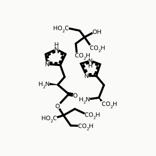 N[C@@H](Cc1c[nH]cn1)C(=O)O.N[C@@H](Cc1c[nH]cn1)C(=O)OC(CC(=O)O)(CC(=O)O)C(=O)O.O=C(O)CC(O)(CC(=O)O)C(=O)O